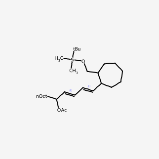 CCCCCCCCC(/C=C/C=C/C1CCCCCC1CO[Si](C)(C)C(C)(C)C)OC(C)=O